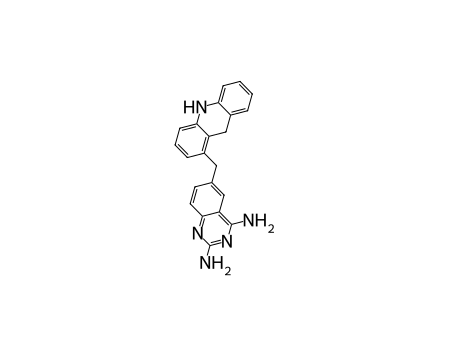 Nc1nc(N)c2cc(Cc3cccc4c3Cc3ccccc3N4)ccc2n1